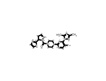 Cc1nc(C)n(-c2nc(N3CCN(C(=O)N4N=CCC4c4nccs4)CC3)ncc2F)n1